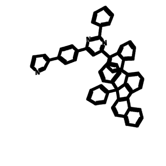 c1ccc(-c2nc(-c3ccc(-c4cccnc4)cc3)cc(-c3ccc(-c4cccc5c4C(c4ccccc4)(c4ccccc4)c4ccc6ccccc6c4-5)c4ccccc34)n2)cc1